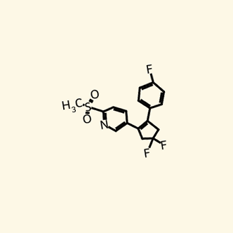 CS(=O)(=O)c1ccc(C2=C(c3ccc(F)cc3)CC(F)(F)C2)cn1